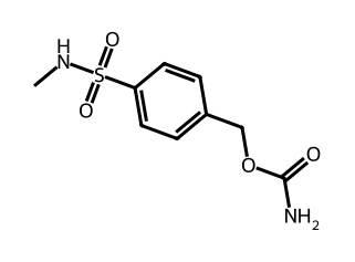 CNS(=O)(=O)c1ccc(COC(N)=O)cc1